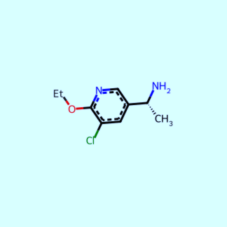 CCOc1ncc([C@@H](C)N)cc1Cl